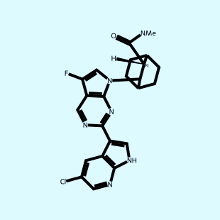 CNC(=O)[C@@H]1C2CCC(CC2)C1n1cc(F)c2cnc(-c3c[nH]c4ncc(Cl)cc34)nc21